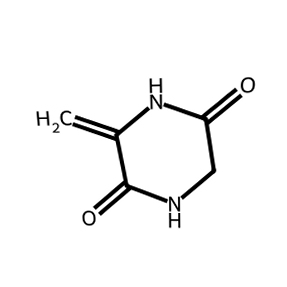 C=C1NC(=O)CNC1=O